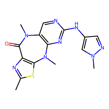 Cc1nc2c(s1)N(C)c1nc(Nc3cnn(C)c3)ncc1N(C)C2=O